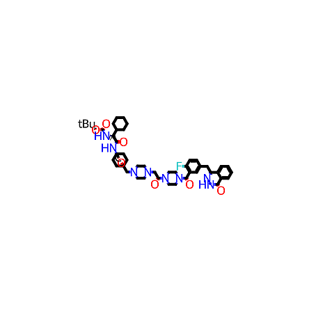 CC(C)(C)OC(=O)N[C@@H](C(=O)NC12CCC(CN3CCN(CC(=O)N4CCN(C(=O)c5cc(Cc6n[nH]c(=O)c7ccccc67)ccc5F)CC4)CC3)(CC1)OC2)C1CCCCC1